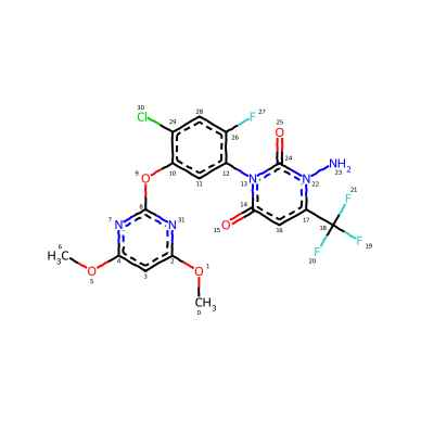 COc1cc(OC)nc(Oc2cc(-n3c(=O)cc(C(F)(F)F)n(N)c3=O)c(F)cc2Cl)n1